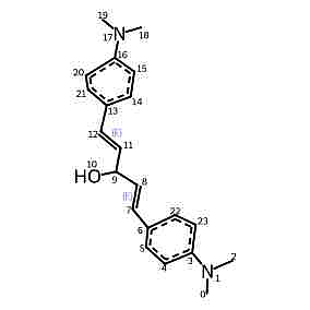 CN(C)c1ccc(/C=C/C(O)/C=C/c2ccc(N(C)C)cc2)cc1